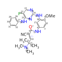 COc1ccc(NC(=O)/C(C#N)=C/C(C)(C)N(C)C)cc1Nc1ncc(F)c(Nc2ccccc2)n1